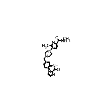 CNC(=O)c1ccc(N2CCN(Cc3ccc4c(c3)[nH]c(=O)c3nccn34)CC2)c(C)n1